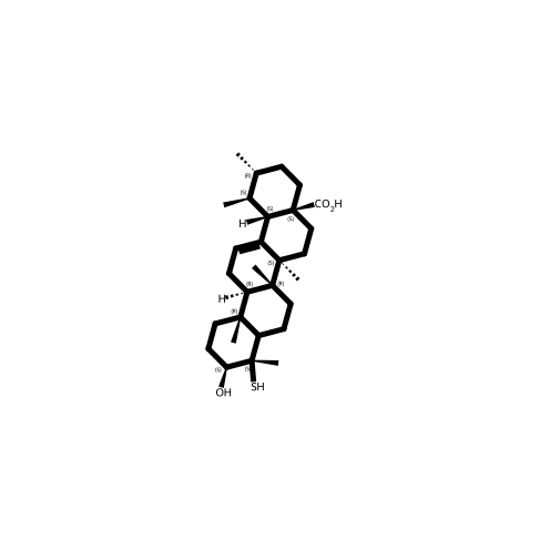 C[C@H]1[C@H](C)CC[C@]2(C(=O)O)CC[C@]3(C)C(=CC[C@@H]4[C@@]5(C)CC[C@H](O)[C@@](C)(S)C5CC[C@]43C)[C@H]12